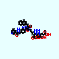 O=C(O)CC[C@H](NC(=O)N[C@@H](CCCCNC(=O)[C@H](Cc1ccc2ccccc2c1)NC(=O)[C@H]1CC[C@H](CNC(=O)c2cccnc2)CC1)C(=O)O)C(=O)O